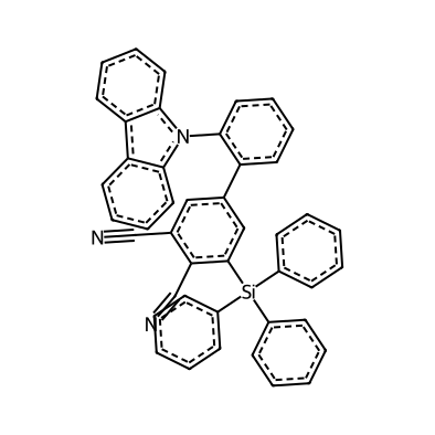 N#Cc1cc(-c2ccccc2-n2c3ccccc3c3ccccc32)cc([Si](c2ccccc2)(c2ccccc2)c2ccccc2)c1C#N